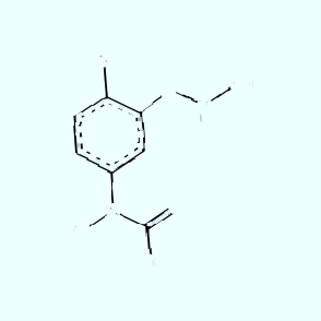 CC(=O)N(C(=O)C(C)C)c1ccc([N+](=O)[O-])c(OBO)c1